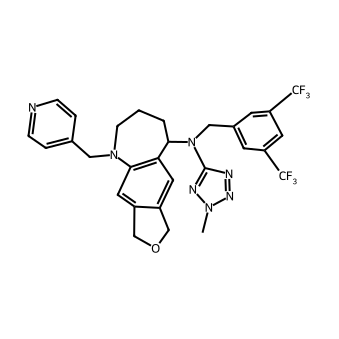 Cn1nnc(N(Cc2cc(C(F)(F)F)cc(C(F)(F)F)c2)C2CCCN(Cc3ccncc3)c3cc4c(cc32)COC4)n1